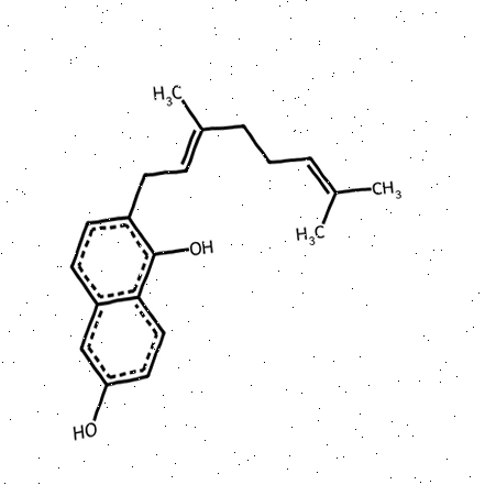 CC(C)=CCC/C(C)=C/Cc1ccc2cc(O)ccc2c1O